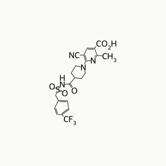 Cc1nc(N2CCC(C(=O)NS(=O)(=O)Cc3ccc(C(F)(F)F)cc3)CC2)c(C#N)cc1C(=O)O